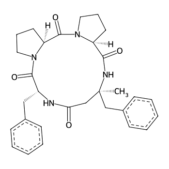 C[C@]1(Cc2ccccc2)CC(=O)N[C@H](Cc2ccccc2)C(=O)N2CCC[C@H]2C(=O)N2CCC[C@H]2C(=O)N1